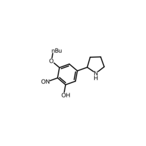 CCCCOc1cc(C2CCCN2)cc(O)c1N=O